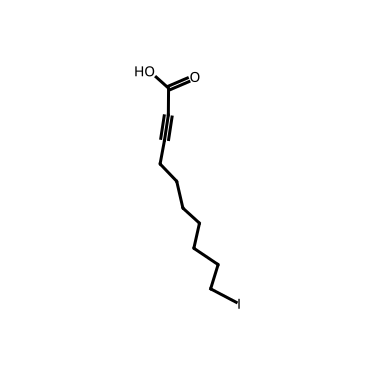 O=C(O)C#CCCCCCCCI